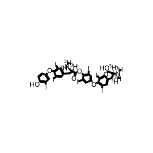 [3H]C(c1cc(I)c(Oc2cc(I)c(OC(=O)[C@]([3H])(Cc3cc(I)c(Oc4ccc(O)c(I)c4)c(I)c3)N([3H])[3H])c(I)c2)c(I)c1)[C@@]([3H])(C(=O)O)N([3H])[3H]